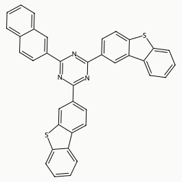 c1ccc2cc(-c3nc(-c4ccc5c(c4)sc4ccccc45)nc(-c4ccc5sc6ccccc6c5c4)n3)ccc2c1